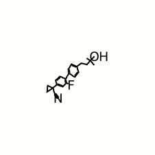 CC(C)(O)CCc1ccc(-c2ccc(C3(C#N)CC3)cc2F)cc1